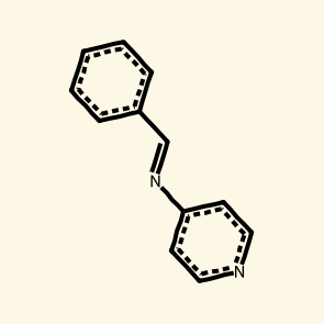 C(=N\c1ccncc1)/c1ccccc1